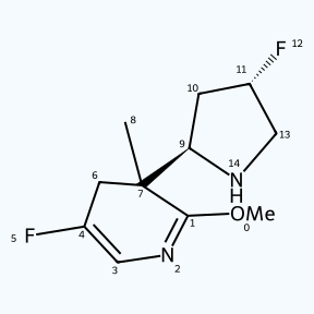 COC1=NC=C(F)CC1(C)[C@H]1C[C@H](F)CN1